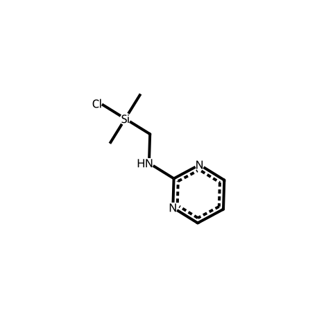 C[Si](C)(Cl)CNc1ncccn1